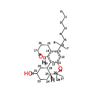 CCCCCCC(C)(C)c1cc2c(c3c1CCCO3)[C@@H]1CC(O)CC[C@H]1C(C)(C)O2